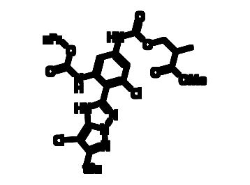 CCCOC(=O)Nc1cc(NC(=O)OCC(C)C(=O)OC)cc(Cl)c1-c1nn2nc(C(C)(C)C)c(Cl)c2[nH]1